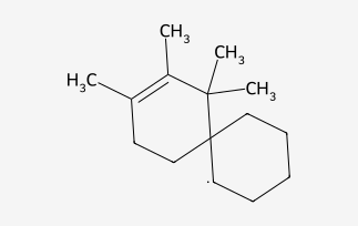 CC1=C(C)C(C)(C)C2([CH]CCCC2)CC1